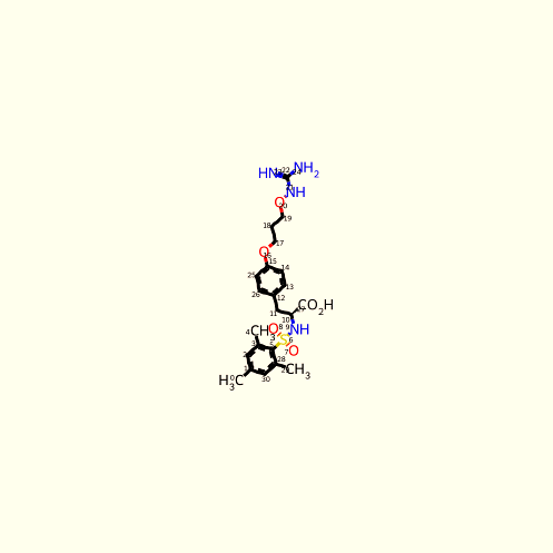 Cc1cc(C)c(S(=O)(=O)N[C@@H](Cc2ccc(OCCCONC(=N)N)cc2)C(=O)O)c(C)c1